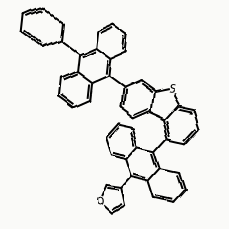 C1=CCC(c2c3ccccc3c(-c3ccc4c(c3)sc3cccc(-c5c6ccccc6c(-c6ccoc6)c6ccccc56)c34)c3ccccc23)C=C1